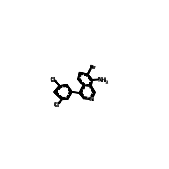 Nc1c(Br)ccc2c(-c3cc(Cl)cc(Cl)c3)cncc12